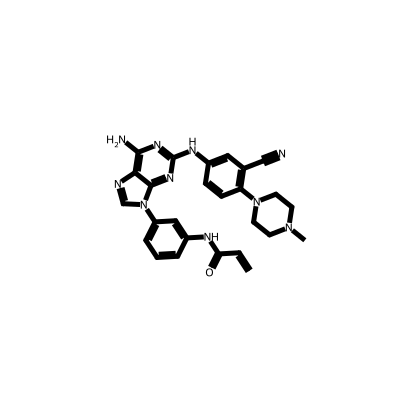 C=CC(=O)Nc1cccc(-n2cnc3c(N)nc(Nc4ccc(N5CCN(C)CC5)c(C#N)c4)nc32)c1